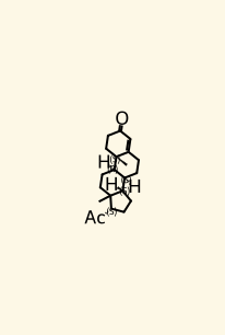 CC(=O)[C@H]1CC[C@H]2[C@@H]3CCC4=CC(=O)CC[C@@]4(C)[C@@H]3CCC12C